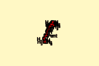 CCCC(C)CC(=O)NC(CCCCCCC(=O)CC(C)CCCC(C)CCC1=C(C)CCCC1(C)C)C(=O)CCCCCCCCNC(=O)CCCC(=O)NCCCCCNC(=O)C(CCCCNC(=O)CC(C)CCCC(C)CCC1=C(C)CCCC1(C)C)NC(=O)CC(C)CCCC(C)CCC1=C(C)CCCC1(C)C